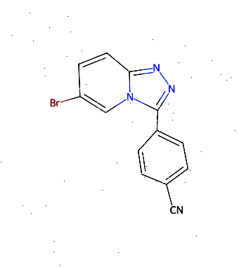 N#Cc1ccc(-c2nnc3ccc(Br)cn23)cc1